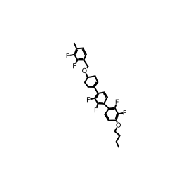 CCCCOc1ccc(-c2ccc(C3=CCC(OCc4ccc(C)c(F)c4F)CC3)c(F)c2F)c(F)c1F